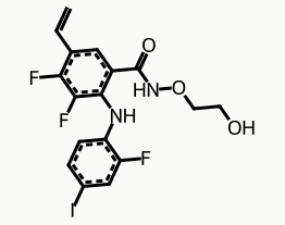 C=Cc1cc(C(=O)NOCCO)c(Nc2ccc(I)cc2F)c(F)c1F